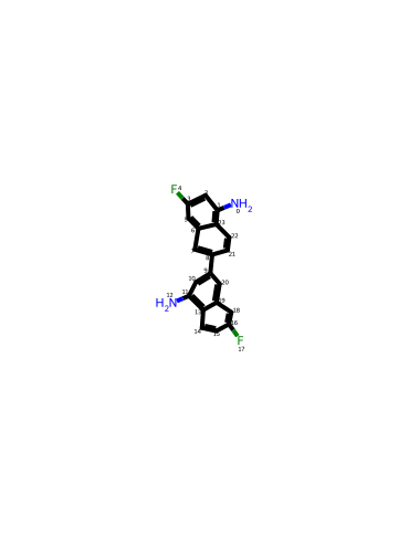 Nc1cc(F)cc2cc(-c3cc(N)c4ccc(F)cc4c3)ccc12